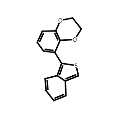 c1cc2c(c(-c3scc4ccccc34)c1)OCCO2